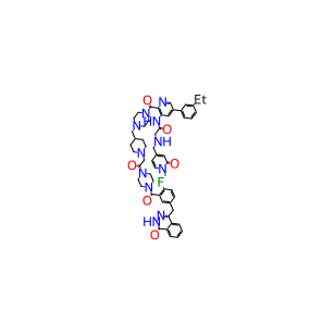 CCc1cccc(-c2cnc(C(=O)N3CCN(CC4CCN(CC(=O)N5CCN(C(=O)c6cc(Cc7n[nH]c(=O)c8ccccc78)ccc6F)CC5)CC4)CC3)c(NC(=O)CNCc3ccn(C)c(=O)c3)c2)c1